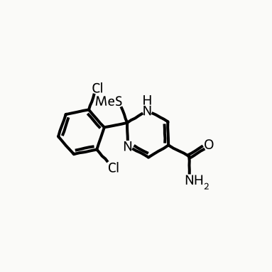 CSC1(c2c(Cl)cccc2Cl)N=CC(C(N)=O)=CN1